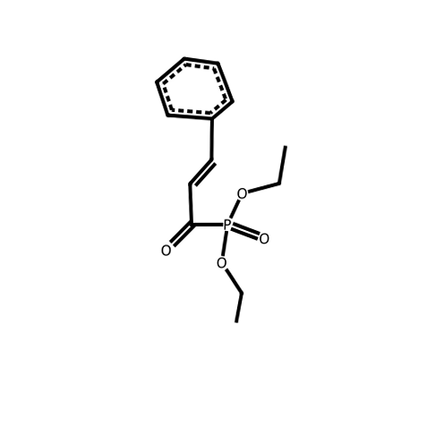 CCOP(=O)(OCC)C(=O)/C=C/c1ccccc1